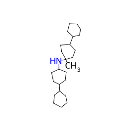 CC1(NC2CCC(C3CCCCC3)CC2)CCC(C2CCCCC2)CC1